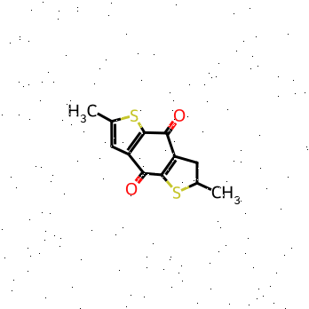 Cc1cc2c(s1)C(=O)C1=C(SC(C)C1)C2=O